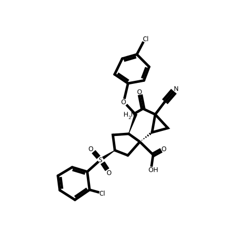 N#CC1(C(N)=O)CC1[C@]1(C(=O)O)C[C@@H](S(=O)(=O)c2ccccc2Cl)C[C@H]1COc1ccc(Cl)cc1